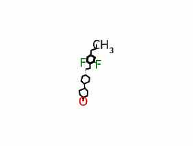 CCCc1cc(F)c(CC[C@H]2CC[C@H](C3CCC(=O)CC3)CC2)c(F)c1